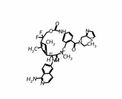 CCN(Cc1nccs1)C(=O)c1ccc2cc1CN(C)C(=O)[C@H](Nc1ccc3c(N)nccc3c1)c1cc(C)c(c(C)c1)C(F)(F)COC(=O)N2